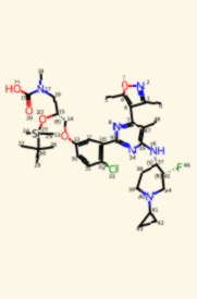 Cc1noc(C)c1-c1nc(-c2cc(OC[C@@H](CN(C)C(=O)O)O[Si](C)(C)C(C)(C)C)ccc2Cl)nc(N[C@H]2CCN(C3CC3)C[C@H]2F)c1C